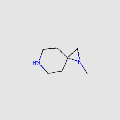 CN1CC12CCNCC2